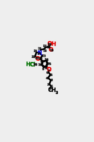 CCCCCCCOc1ccc(C2CN(CCCC(=O)O)CCO2)cc1.Cl